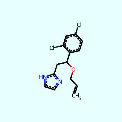 C=CCOC(Cc1ncc[nH]1)c1ccc(Cl)cc1Cl